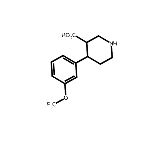 O=C(O)C1CNCCC1c1cccc(OC(F)(F)F)c1